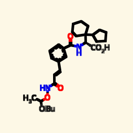 CC(C)COC(C)ONC(=O)C=Cc1cccc(C(=O)N[C@H](C(=O)O)C2(C3CCCC3)CCCCC2)c1